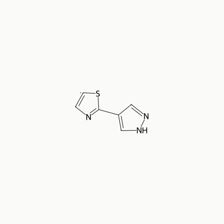 [c]1cnc(-c2cn[nH]c2)s1